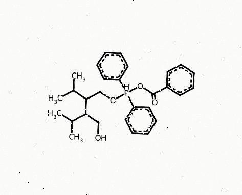 CC(C)C(CO)C(CO[PH](OC(=O)c1ccccc1)(c1ccccc1)c1ccccc1)C(C)C